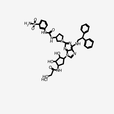 Cl.NS(=O)(=O)c1cccc(NC(=O)NC2CCN(c3nc(NCC(c4ccccc4)c4ccccc4)c4ncn(C5CC(NC(=O)CO)C(O)C5O)c4n3)C2)c1